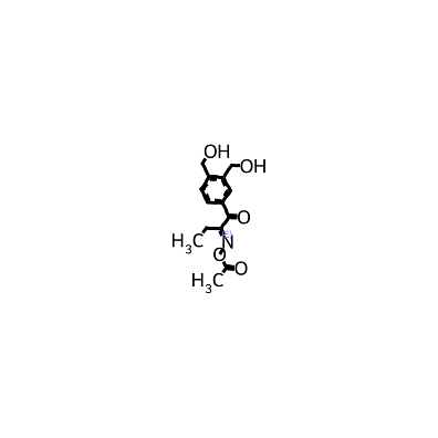 CC/C(=N\OC(C)=O)C(=O)c1ccc(CO)c(CO)c1